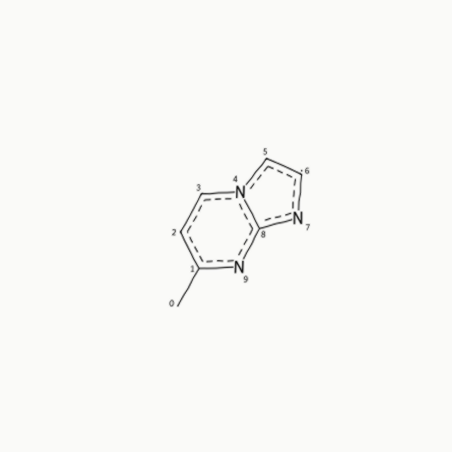 Cc1ccn2c[c]nc2n1